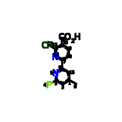 Cc1cc(F)nc(-c2ccc(C(=O)O)c(Cl)n2)c1